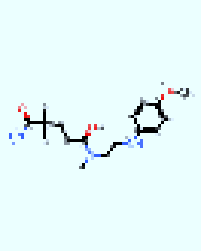 CN(CCNc1ccc(OC(F)(F)F)cc1)C(=O)[CH]CC(C)(C)C(N)=O